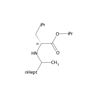 CCCCCCCC(C)N[C@H](CC(C)C)C(=O)OC(C)C